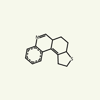 C1=Nc2ccccc2C2=C3CCSC3CCC12